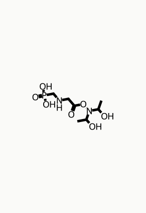 CC(O)N(OC(=O)CNCP(=O)(O)O)C(C)O